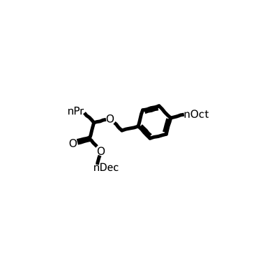 CCCCCCCCCCOC(=O)C(CCC)OCc1ccc(CCCCCCCC)cc1